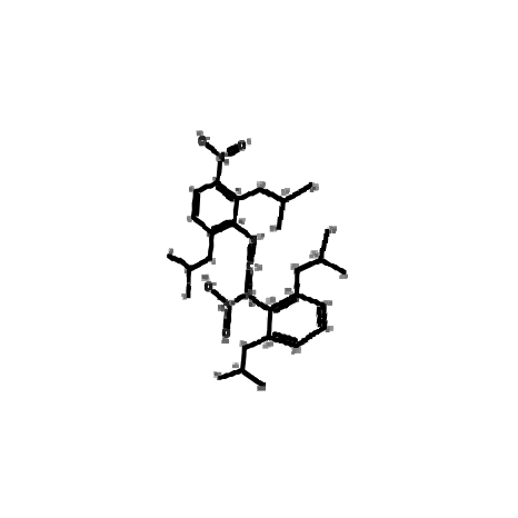 CC(C)Cc1ccc([N+](=O)[O-])c(CC(C)C)c1N=C=[N+](c1c(CC(C)C)cccc1CC(C)C)[N+](=O)[O-]